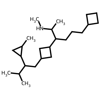 CNC(C)C(CCCC1CCC1)C1CC(CC(C(C)C)C2CC2C)C1